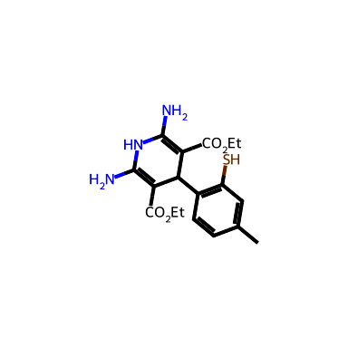 CCOC(=O)C1=C(N)NC(N)=C(C(=O)OCC)C1c1ccc(C)cc1S